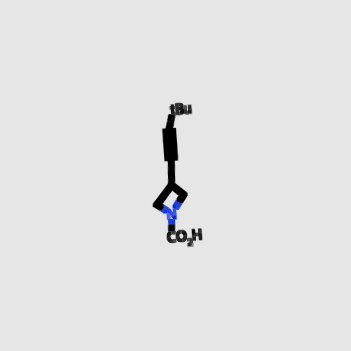 CC(C)(C)C#CC1CN(C(=O)O)C1